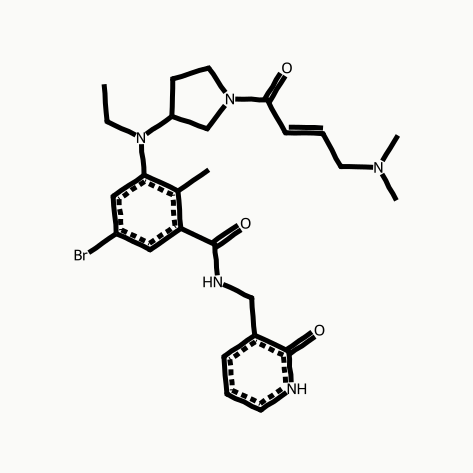 CCN(c1cc(Br)cc(C(=O)NCc2ccc[nH]c2=O)c1C)C1CCN(C(=O)/C=C/CN(C)C)C1